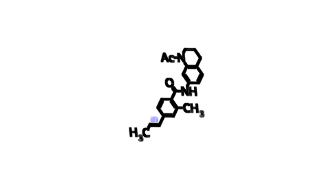 C/C=C/c1ccc(C(=O)Nc2ccc3c(c2)N(C(C)=O)CCC3)c(C)c1